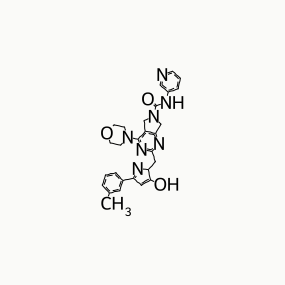 Cc1cccc(C2=NC(Cc3nc4c(c(N5CCOCC5)n3)CN(C(=O)Nc3cccnc3)C4)C(O)=C2)c1